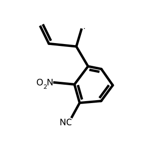 [CH2]C(C=C)c1cccc(C#N)c1[N+](=O)[O-]